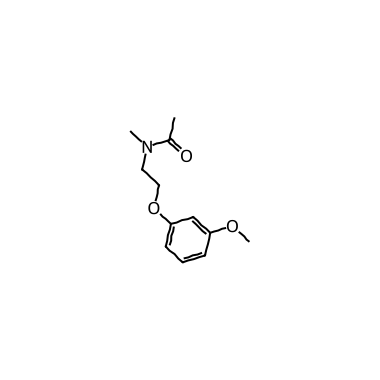 COc1cccc(OCCN(C)C(C)=O)c1